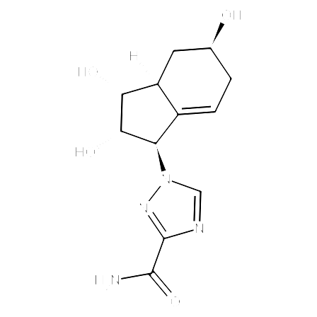 NC(=O)c1ncn([C@@H]2C3=CC[C@H](O)C[C@@H]3[C@@H](O)[C@H]2O)n1